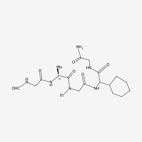 CCN(CC(=O)NC(C(=O)NCC(N)=O)C1CCCCC1)C(=O)[C@@H](NC(=O)CNC=O)C(C)(C)C